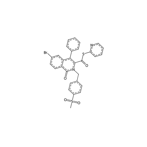 CS(=O)(=O)c1ccc(Cn2c(C(=O)Sc3ccccn3)c(-c3ccccc3)c3cc(Br)ccc3c2=O)cc1